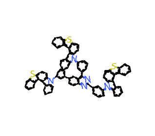 c1cc(-c2ccc3nc(-c4cccc(-n5c6ccccc6c6c7c(ccc65)sc5ccccc57)c4)nc(-c4cccc(-n5c6ccccc6c6c7c(ccc65)sc5ccccc57)c4)c3c2)cc(-n2c3ccccc3c3c4c(ccc32)sc2ccccc24)c1